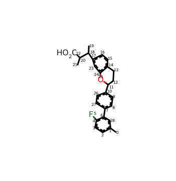 Cc1ccc(F)c(-c2ccc(C3CCc4ccc(C(C)C(C)C(=O)O)cc4O3)cc2)c1